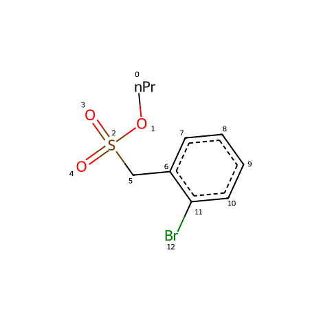 CCCOS(=O)(=O)Cc1ccccc1Br